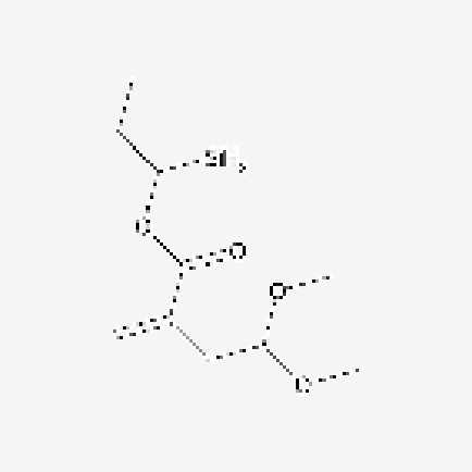 C=C(CC(OC)OC)C(=O)OC([SiH3])CC